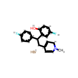 Br.CN1C=CC(CC(c2ccc(F)cc2)c2cc(F)ccc2O)=CC1